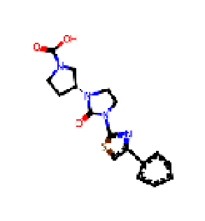 O=C(O)N1CC[C@@H](N2CCN(c3nc(-c4ccccc4)cs3)C2=O)C1